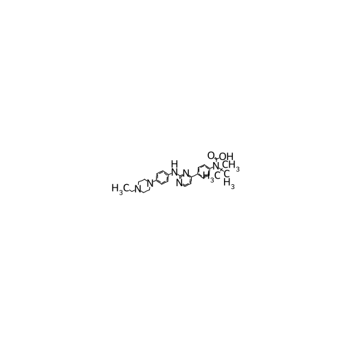 CCN1CCN(c2ccc(Nc3nccc(-c4ccc(N(C(=O)O)C(C)(C)C)cc4)n3)cc2)CC1